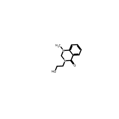 CN1CN(CCO)C(=O)c2ccccc21